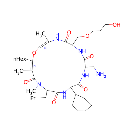 CCCCCC/C1=C(\C)C(=O)N(C)C(CC(C)C)C(=O)NC(C2CCCCC2)C(=O)NC(CN)C(=O)NC(COCCCO)C(=O)N/C(C)=C\O1